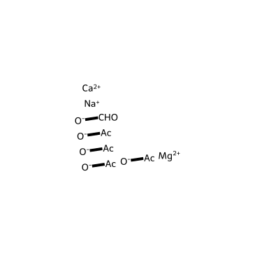 CC(=O)[O-].CC(=O)[O-].CC(=O)[O-].CC(=O)[O-].O=C[O-].[Ca+2].[Mg+2].[Na+]